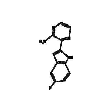 Nc1nccnc1-c1cc2cc(F)ccc2[nH]1